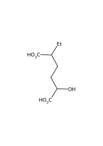 CCC(CCC(O)C(=O)O)C(=O)O